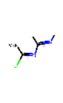 C/N=C(C)/N=C(/Cl)NC